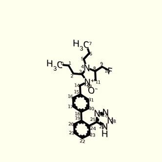 CCCC1N(CCC)C(CF)C[N+]1([O-])Cc1ccc(-c2ccccc2-c2nnn[nH]2)cc1